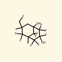 CC1(CF)CC2(O)C(F)(F)C(O)(F)C(F)(F)C(C)(C1(F)F)C2(F)F